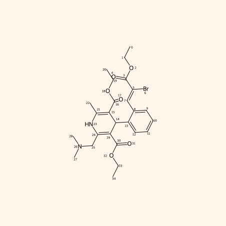 CCOC(=O)C(Br)=Cc1ccccc1C1C(C(=O)OCC)=C(C)NC(CN(C)C)=C1C(=O)OCC